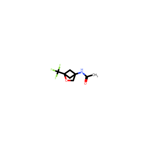 CC(=O)NC12COC(C(F)(F)F)(C1)C2